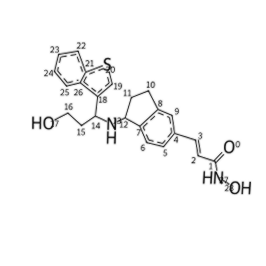 O=C(C=Cc1ccc2c(c1)CCC2NC(CCO)c1csc2ccccc12)NO